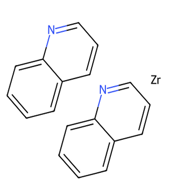 [Zr].c1ccc2ncccc2c1.c1ccc2ncccc2c1